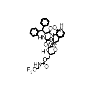 COC(=O)N[C@H](C(=O)Nc1c(CC[C@@H]2CN[C@H](COC(=O)NCC(F)(F)F)CO2)cc[nH]c1=O)C(c1ccccc1)c1ccccc1